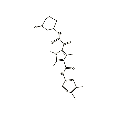 CC(=O)N1CCCC(NC(=O)C(=O)c2c(C)c(C(=O)Nc3ccc(F)c(C)c3)c(C)n2C)C1